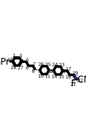 CCCc1ccc(CCCC[C@H]2CC[C@H](C3CCC(CC/C=C(\F)C#N)CC3)CC2)cc1